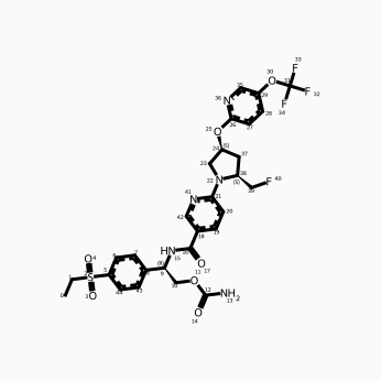 CCS(=O)(=O)c1ccc([C@H](COC(N)=O)NC(=O)c2ccc(N3C[C@@H](Oc4ccc(OC(F)(F)F)cn4)C[C@H]3CF)nc2)cc1